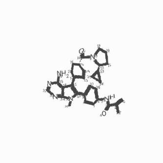 C=C(C)C(=O)Nc1ccc(-c2c(C3=CC[C@@H](C(=O)N4CCC[C@H]4C4CC4)CC3)c3c(N)ncnc3n2C)cc1